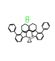 C1=C(C2CCCCC2)[CH]([Ti+2]2([CH]3C(C4CCCCC4)=Cc4c(-c5ccccc5)cccc43)[CH2][CH2]2)c2cccc(-c3ccccc3)c21.[Cl-].[Cl-]